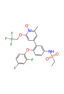 CCS(=O)(=O)Nc1ccc(Oc2ccc(F)cc2F)c(-c2cc(C)[n+]([O-])c(OCC(F)(F)F)c2)c1